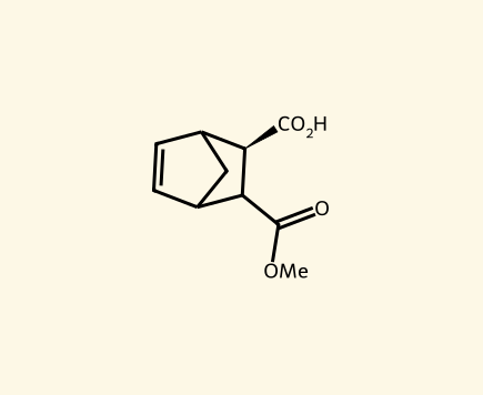 COC(=O)C1C2C=CC(C2)[C@H]1C(=O)O